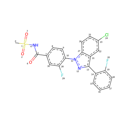 CS(=O)(=O)NC(=O)c1ccc(-n2nc(-c3ccccc3F)c3cc(Cl)ccc32)c(F)c1